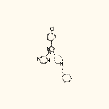 Clc1ccc(-c2cc(C3CCN(CCc4ccccc4)CC3)n(-c3cnccn3)n2)cc1